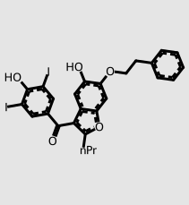 CCCc1oc2cc(OCCc3ccccc3)c(O)cc2c1C(=O)c1cc(I)c(O)c(I)c1